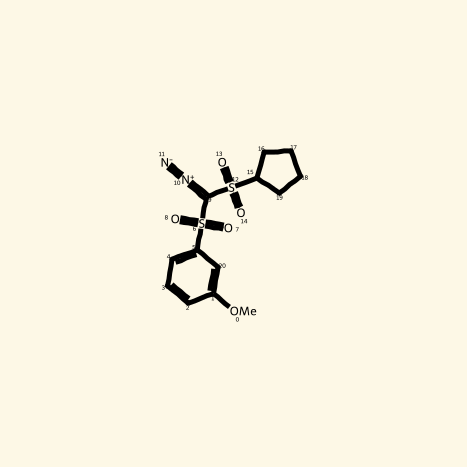 COc1cccc(S(=O)(=O)C(=[N+]=[N-])S(=O)(=O)C2CCCC2)c1